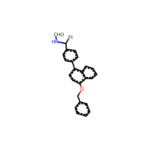 CCC(NC=O)c1ccc(-c2ccc(OCc3ccccc3)c3ccccc23)cc1